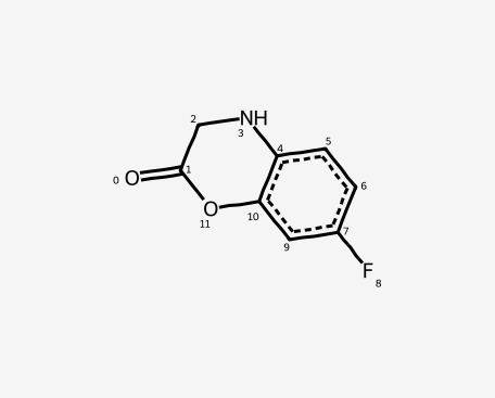 O=C1CNc2ccc(F)cc2O1